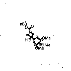 CCCCOC(=O)N1CC(O)(c2cc(OC)c(OC)c(OC)c2)C1